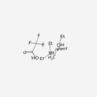 CCCCCC.CCNCC.CCO.O=C(O)C(F)(F)F